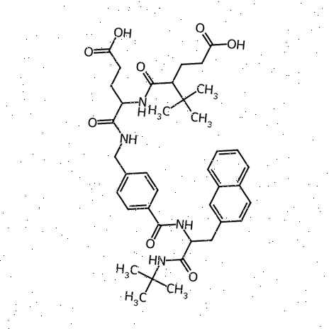 CC(C)(C)NC(=O)C(Cc1ccc2ccccc2c1)NC(=O)c1ccc(CNC(=O)C(CCC(=O)O)NC(=O)C(CCC(=O)O)C(C)(C)C)cc1